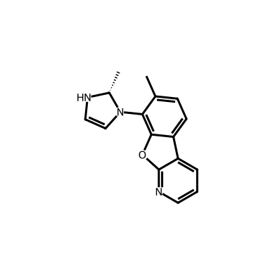 Cc1ccc2c(oc3ncccc32)c1N1C=CN[C@@H]1C